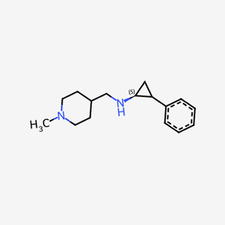 CN1CCC(CN[C@H]2CC2c2ccccc2)CC1